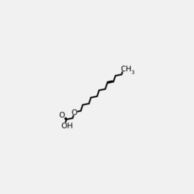 CCCC=CCCCCCCCOCC(=O)O